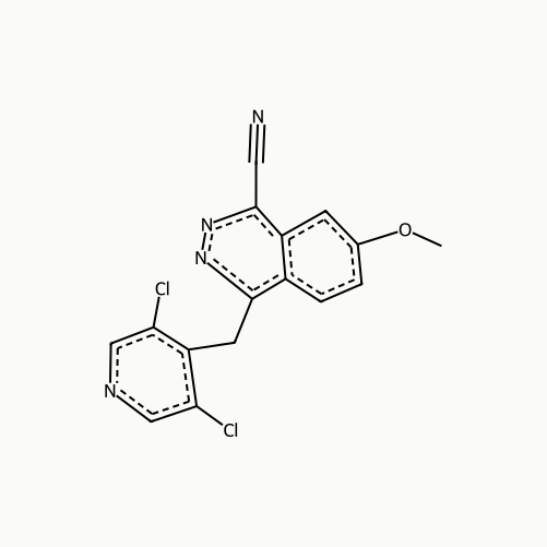 COc1ccc2c(Cc3c(Cl)cncc3Cl)nnc(C#N)c2c1